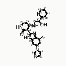 Cc1cc(-n2ccnc2)cc2[nH]c(-c3c(NC[C@H](O)c4ccccn4)cc[nH]c3=O)nc12